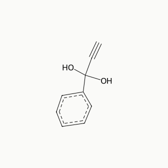 C#CC(O)(O)c1ccccc1